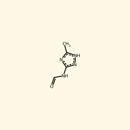 Cc1nc(NC=O)n[nH]1